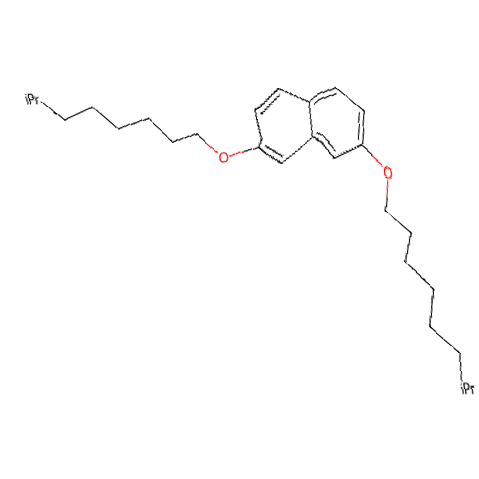 CC(C)CCCCCCOc1ccc2ccc(OCCCCCCC(C)C)cc2c1